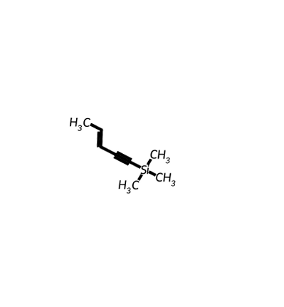 C/C=C/C#C[Si](C)(C)C